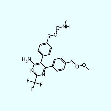 CNOOSc1ccc(-c2c(N)nc(C(F)(F)F)nc2-c2ccc(SOOC)cc2)cc1